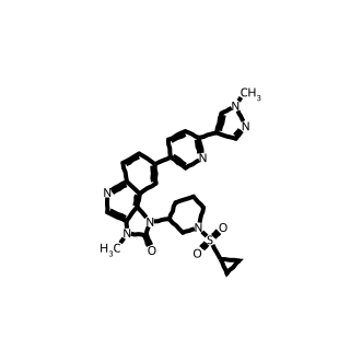 Cn1cc(-c2ccc(-c3ccc4ncc5c(c4c3)n(C3CCCN(S(=O)(=O)C4CC4)C3)c(=O)n5C)cn2)cn1